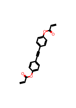 C=CC(=O)Oc1ccc(C#Cc2ccc(OC(=O)C=C)cc2)cc1